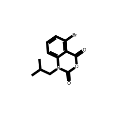 CC(C)Cn1c(=O)oc(=O)c2c(Br)cccc21